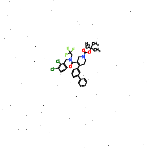 CC(C)(C)OC(=O)N1CCC(c2cccc(-c3ccccc3)c2)=C(C(=O)N(Cc2cccc(Cl)c2Cl)CC(F)(F)F)C1